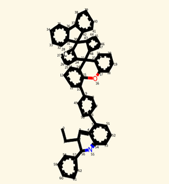 CCC1C=c2c(-c3ccc(-c4cccc5c4Oc4ccccc4C54c5ccccc5C5(c6ccccc6-c6ccccc65)c5ccccc54)cc3)cccc2=NC1c1ccccc1